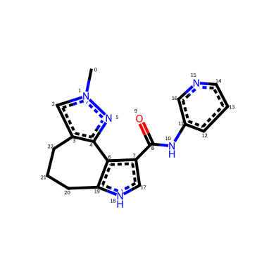 Cn1cc2c(n1)-c1c(C(=O)Nc3cccnc3)c[nH]c1CCC2